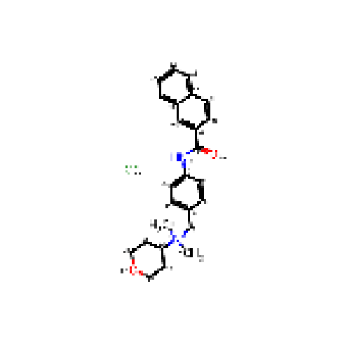 C[N+](C)(Cc1ccc(NC(=O)c2ccc3ccccc3c2)cc1)C1CCOCC1.[Cl-]